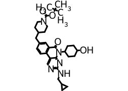 CC(C)(C)OC(=O)N1CCC(Cc2ccc3c(c2)c(=O)n(C2CCC(O)CC2)c2nc(NCC4CC4)ncc32)CC1